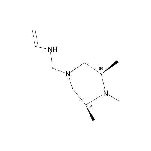 C=CNCN1C[C@@H](C)N(C)[C@@H](C)C1